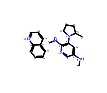 CNc1cnc(NC)c(N2CCCC2C)c1.c1ccc2ncccc2c1